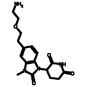 Cn1c(=O)n(C2CCC(=O)NC2=O)c2ccc(CCOCCN)cc21